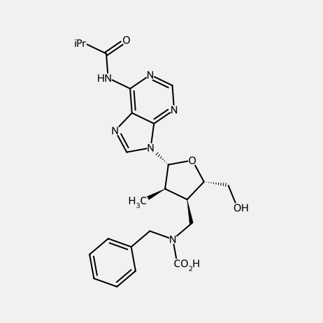 CC(C)C(=O)Nc1ncnc2c1ncn2[C@@H]1O[C@H](CO)[C@@H](CN(Cc2ccccc2)C(=O)O)[C@H]1C